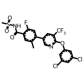 Cc1cc(C(=O)NS(C)(=O)=O)c(F)cc1-c1cnc(Oc2cc(Cl)cc(Cl)c2)c(C(F)(F)F)c1